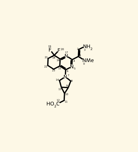 CN/C(=C\N)c1nc(N2CC3C(CC(=O)O)C3C2)c2c(n1)C(F)(F)CCC2